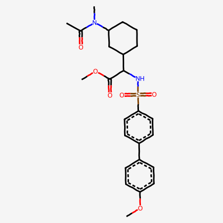 COC(=O)C(NS(=O)(=O)c1ccc(-c2ccc(OC)cc2)cc1)C1CCCC(N(C)C(C)=O)C1